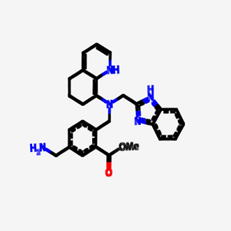 COC(=O)c1cc(CN)ccc1CN(Cc1nc2ccccc2[nH]1)C1=C2NC=CC=C2CCC1